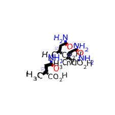 C/C(=C/C(N)=O)C(=O)O.C/C(=C/C(N)=O)C(=O)O.C/C(=C/C(N)=O)C(=O)O.CCCN